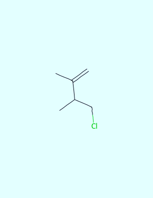 C=C(C)C(C)CCl